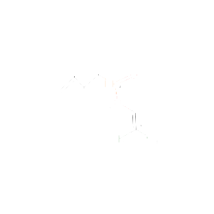 C=CCC[PH](=O)OC=C(Cl)Cl